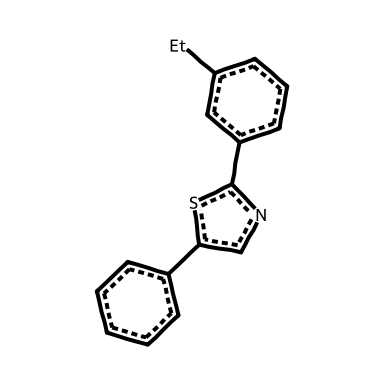 CCc1cccc(-c2ncc(-c3ccccc3)s2)c1